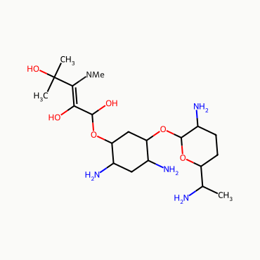 CN/C(=C(/O)C(O)OC1CC(OC2OC(C(C)N)CCC2N)C(N)CC1N)C(C)(C)O